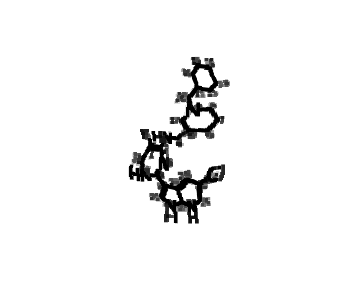 FC1=C(NC[C@@H]2CCCN(CC3CCCCC3)C2)N=C(C2=CNC3NC=C(Cl)C=C23)NC1